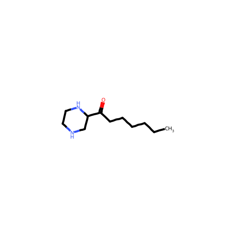 CCCCCCC(=O)C1CNCCN1